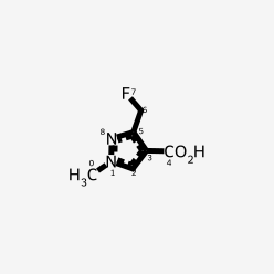 Cn1cc(C(=O)O)c(CF)n1